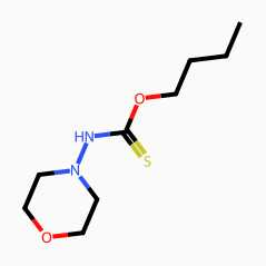 CCCCOC(=S)NN1CCOCC1